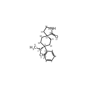 CN(C)[C@]1(c2ccccc2)CC[C@]2(CCNC2=O)CC1